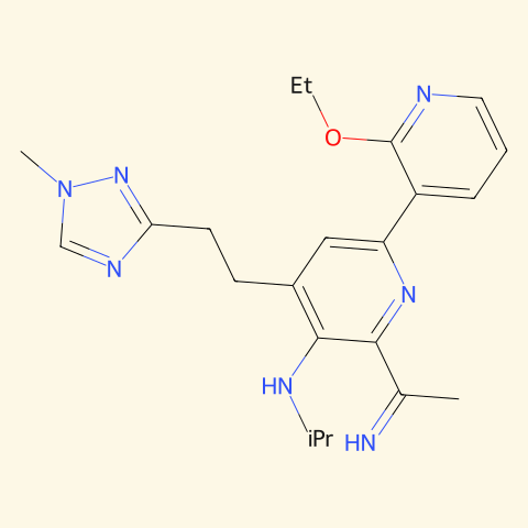 CCOc1ncccc1-c1cc(CCc2ncn(C)n2)c(NC(C)C)c(C(C)=N)n1